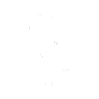 CCc1c2c(nc3ccc(O)cc13)-c1cc3c(c(=O)n1C2)COC(=O)C3C